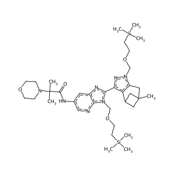 CC12Cc3c(c(-c4nc5cc(NC(=O)C(C)(C)N6CCOCC6)cnc5n4COCC[Si](C)(C)C)nn3COCC[Si](C)(C)C)C(C1)C2